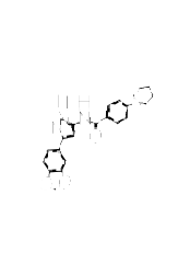 O=C(Nc1cc(-c2ccc3c(c2)OCO3)n[nH]1)c1ccc(N2CCCC2)cc1